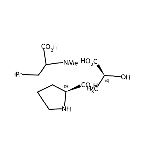 CNC(CC(C)C)C(=O)O.C[C@H](O)C(=O)O.O=C(O)[C@@H]1CCCN1